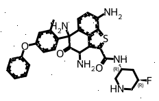 Cc1cc(Oc2ccccc2)ccc1C1(N)C(=O)C(N)c2c(C(=O)N[C@H]3CNC[C@H](F)C3)sc3c(N)ccc1c23